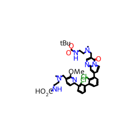 COc1nc(-c2cccc(-c3cccc(-c4ccn5c(=O)c(CN(C)CCNC(=O)OC(C)(C)C)cnc5c4)c3Cl)c2Cl)ccc1CN(C)CCNC(=O)O